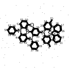 Cc1ccc2c(c1)[Si](c1ccccc1)(c1ccccc1)c1cc(C)ccc1N2c1cc2c3c(c1)N(c1ccccc1)c1cccc4c1B3c1c(cccc1N4c1ccccc1)O2